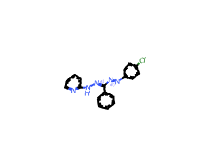 Clc1ccc(/N=N/C(=N/Nc2ccccn2)c2ccccc2)cc1